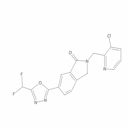 O=C1c2cc(-c3nnc(C(F)F)o3)ccc2CN1Cc1ncccc1Cl